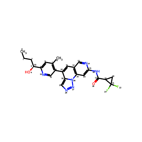 CCC[C@H](O)c1cc(C)c(-c2cc3cnc(NC(=O)C4CC4(F)F)cc3n3nncc23)cn1